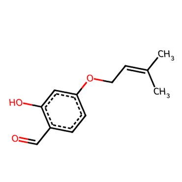 CC(C)=CCOc1ccc(C=O)c(O)c1